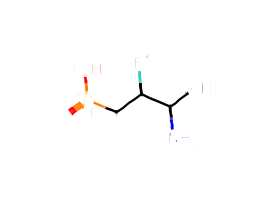 CC(N)C(F)C[PH](=O)O